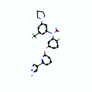 Cn1cc(-c2cccc(Oc3ccc(F)c(N(C(N)=O)c4cc(N5CCCC5)cc(C(F)(F)F)c4)c3)n2)cn1